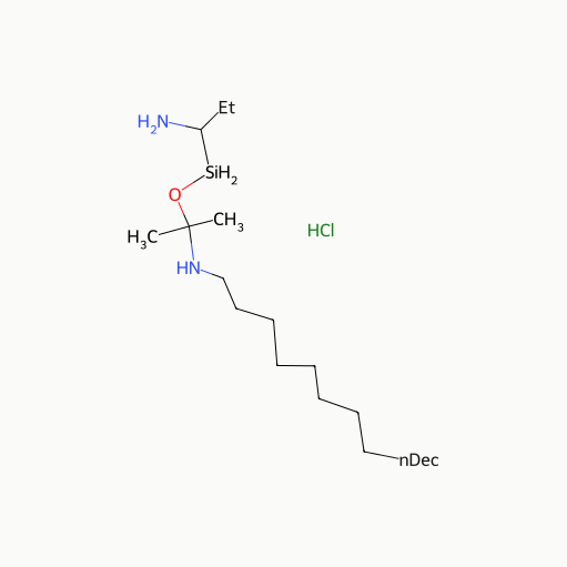 CCCCCCCCCCCCCCCCCCNC(C)(C)O[SiH2]C(N)CC.Cl